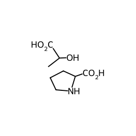 CC(O)C(=O)O.O=C(O)C1CCCN1